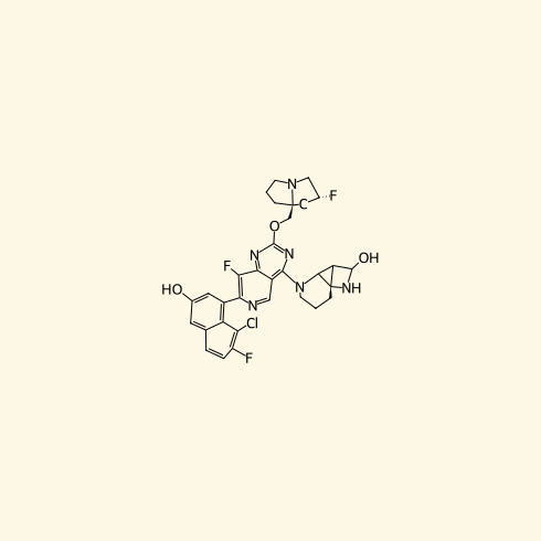 Oc1cc(-c2ncc3c(N4CCC[C@]56NC(O)C5C46)nc(OC[C@@]45CCCN4C[C@H](F)C5)nc3c2F)c2c(Cl)c(F)ccc2c1